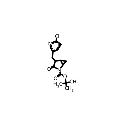 CC(C)(C)OC(=O)N1C(=O)C(Cc2ccc(Cl)nc2)C2CC21